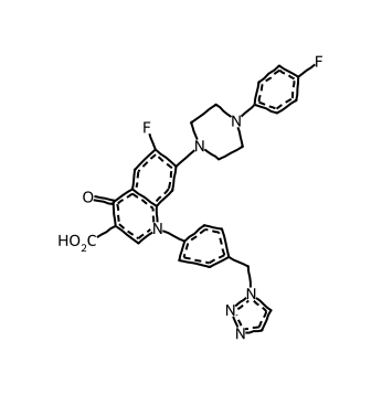 O=C(O)c1cn(-c2ccc(Cn3ccnn3)cc2)c2cc(N3CCN(c4ccc(F)cc4)CC3)c(F)cc2c1=O